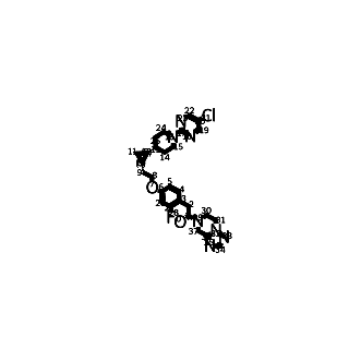 O=C(Cc1ccc(OCC[C@@H]2C[C@@H]2C2CCN(c3ncc(Cl)cn3)CC2)cc1F)N1CCn2ncnc2C1